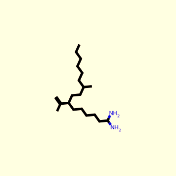 C=C(C)C(CCCCCC(N)N)CCC(C)CCCCCC